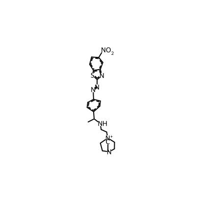 CC(NCC[N+]12CCN(CC1)CC2)c1ccc(N=Nc2nc3cc([N+](=O)[O-])ccc3s2)cc1